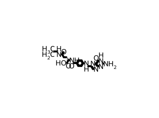 C=C(C)CNC(=O)CC[C@H](NC(=O)c1ccc(NCc2cnc3nc(N)[nH]c(=O)c3n2)cc1)C(=O)O